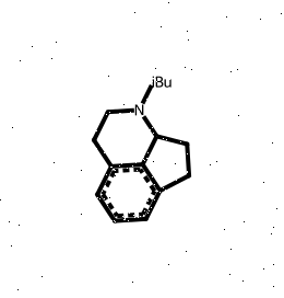 CCC(C)N1CCc2cccc3c2C1CC3